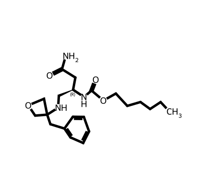 CCCCCCOC(=O)N[C@@H](CNC1(Cc2ccccc2)COC1)CC(N)=O